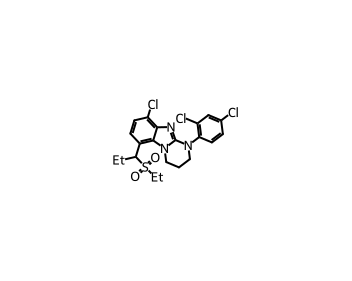 CCC(c1ccc(Cl)c2nc3n(c12)CCCN3c1ccc(Cl)cc1Cl)S(=O)(=O)CC